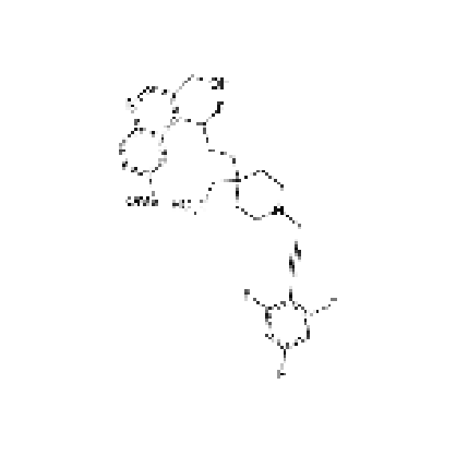 COc1ccc2ncc(CO)c(C(F)CCC3(CC(=O)O)CCN(CC#Cc4c(F)cc(F)cc4F)CC3)c2c1